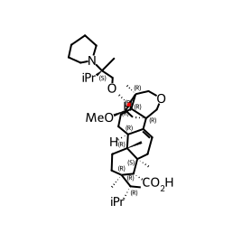 CO[C@@H]1C[C@@]23COC[C@@](C)([C@@H]2CC[C@H]2C3=CC[C@@]3(C)[C@H](C(=O)O)[C@@](C)([C@H](C)C(C)C)CC[C@]23C)[C@H]1OC[C@](C)(C(C)C)N1CCCCC1